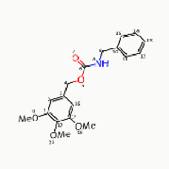 COc1cc(COC(=O)NCc2ccccc2)cc(OC)c1OC